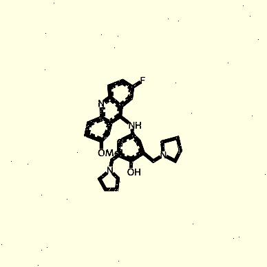 COc1ccc2nc3ccc(F)cc3c(Nc3cc(CN4CCCC4)c(O)c(CN4CCCC4)c3)c2c1